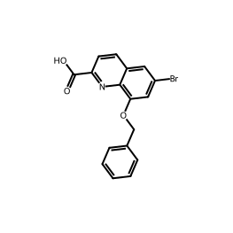 O=C(O)c1ccc2cc(Br)cc(OCc3ccccc3)c2n1